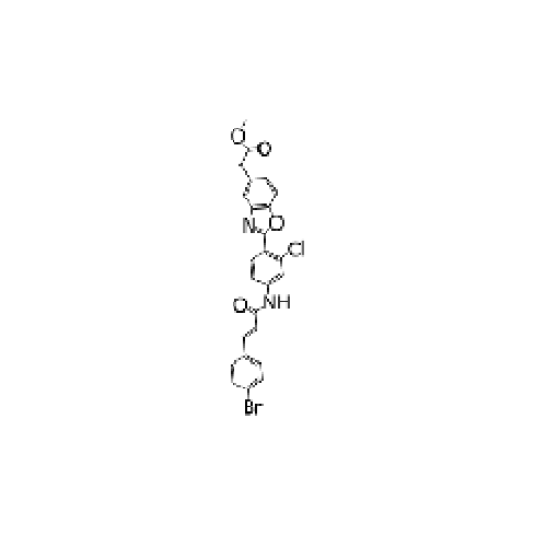 COC(=O)Cc1ccc2oc(-c3ccc(NC(=O)C=Cc4ccc(Br)cc4)cc3Cl)nc2c1